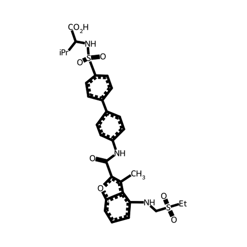 CCS(=O)(=O)CNc1cccc2oc(C(=O)Nc3ccc(-c4ccc(S(=O)(=O)NC(C(=O)O)C(C)C)cc4)cc3)c(C)c12